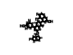 CCc1c(F)ccc2cc(O)cc(-c3ncc4c(N5C[C@@H]6C[C@H](C5)[C@H](O)C6)nc(OC[C@@]56CCCN5C[C@H](F)C6)nc4c3F)c12